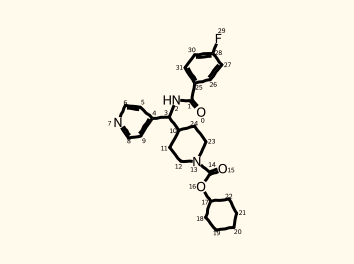 O=C(NC(c1ccncc1)C1CCN(C(=O)OC2CCCCC2)CC1)c1ccc(F)cc1